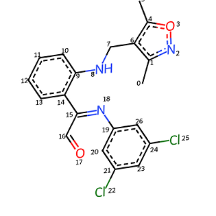 Cc1noc(C)c1CNc1ccccc1/C(C=O)=N/c1cc(Cl)cc(Cl)c1